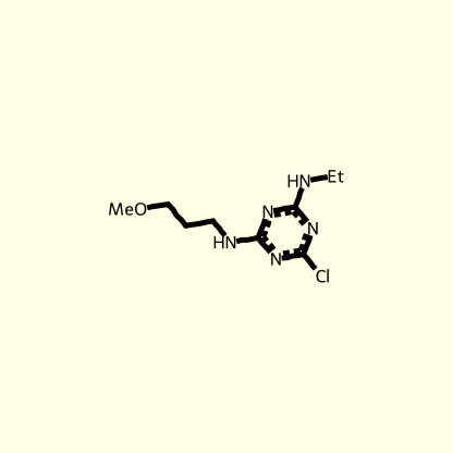 CCNc1nc(Cl)nc(NCCCOC)n1